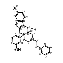 Oc1cccc(C23CCN(CCc4ccccc4)CC2(O)Cc2c([nH]c4cc(Br)ccc24)C3)c1